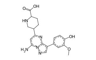 COc1cc(-c2cnn3c(N)cc(C4CCC(C(=O)O)NC4)nc23)ccc1O